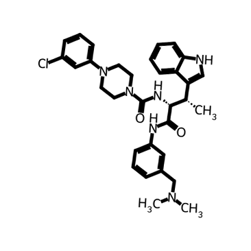 C[C@@H](c1c[nH]c2ccccc12)[C@@H](NC(=O)N1CCN(c2cccc(Cl)c2)CC1)C(=O)Nc1cccc(CN(C)C)c1